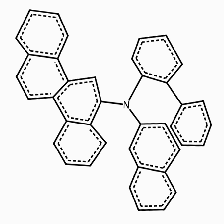 c1ccc(-c2ccccc2N(c2ccc3ccccc3c2)c2cc3c4ccccc4ccc3c3ccccc23)cc1